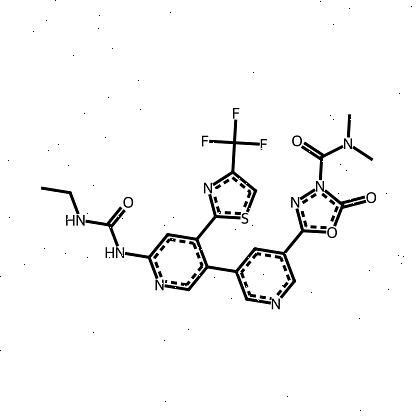 CCNC(=O)Nc1cc(-c2nc(C(F)(F)F)cs2)c(-c2cncc(-c3nn(C(=O)N(C)C)c(=O)o3)c2)cn1